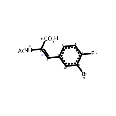 CC(=O)N/C(=C/c1ccc(F)c(Br)c1)C(=O)O